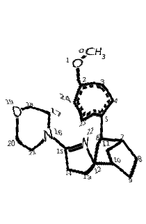 COc1ccc(C2C3CCC(C3)C23CCC(N2CCOCC2)=N3)cc1